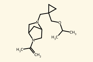 C=C(C)N1CC2CC1CN2CC1(COC(C)C)CC1